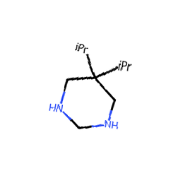 CC(C)C1(C(C)C)CNCNC1